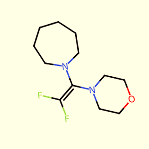 FC(F)=C(N1CCCCCC1)N1CCOCC1